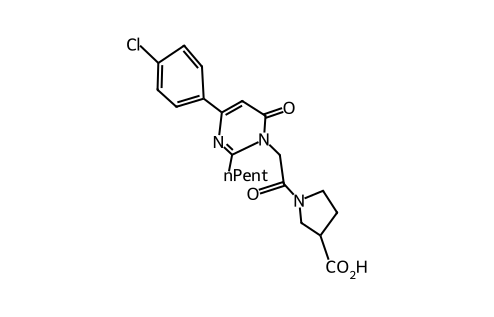 CCCCCc1nc(-c2ccc(Cl)cc2)cc(=O)n1CC(=O)N1CCC(C(=O)O)C1